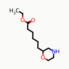 CCOC(=O)CCCCCC1CNCCO1